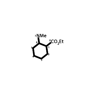 CCOC(=O)C1CCCCC1NC